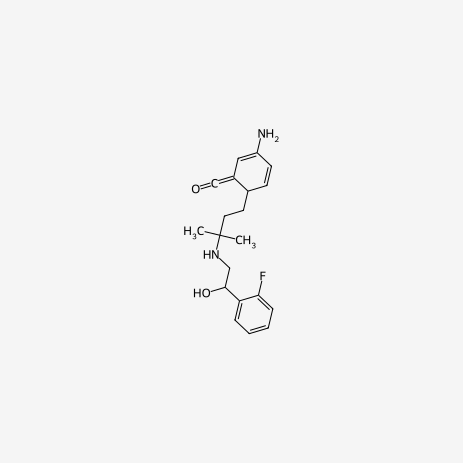 CC(C)(CCC1C=CC(N)=CC1=C=O)NCC(O)c1ccccc1F